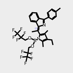 CCc1c(C)c(/C(C)=C2\N=C(c3ccc(C)cc3)c3ccccc32)n(B(OCC(F)(F)C(F)(F)F)OCC(F)(F)C(F)(F)F)c1C